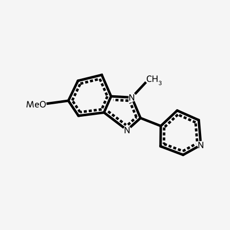 COc1ccc2c(c1)nc(-c1ccncc1)n2C